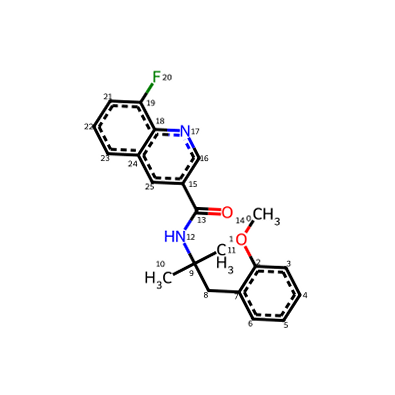 COc1ccccc1CC(C)(C)NC(=O)c1cnc2c(F)cccc2c1